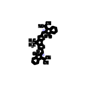 CC1(C)c2cc(/C=C3/C(=C(C#N)C#N)c4ccccc4S3(=O)=O)sc2-c2sc(/C=C3/C(=C(C#N)C#N)c4ccccc4S3(=O)=O)cc21